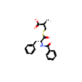 CC(CSC(=O)[C@@H](Cc1ccccc1)NC(=O)c1ccccc1)C(=O)O